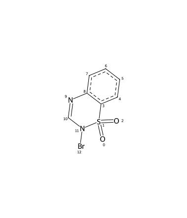 O=S1(=O)c2ccccc2N=CN1Br